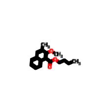 CCCCOC(=O)c1c(OC)c(C)cc2ccccc12